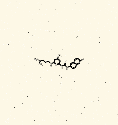 CN(C)CCCNc1cc(C(F)(F)F)nc(NC(=O)Nc2ccc3cc(F)ccc3c2)n1